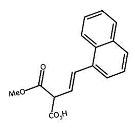 COC(=O)C(C=Cc1cccc2ccccc12)C(=O)O